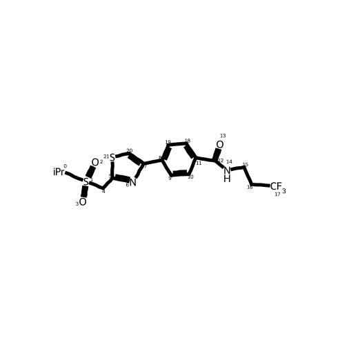 CC(C)S(=O)(=O)Cc1nc(-c2ccc(C(=O)NCCC(F)(F)F)cc2)cs1